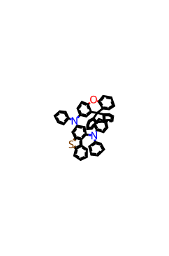 c1ccc(N(c2ccc3c(c2)C2(c4ccccc4O3)c3ccccc3-c3ccccc32)c2cc(N(c3ccccc3)c3ccccc3)c3c(c2)sc2ccccc23)cc1